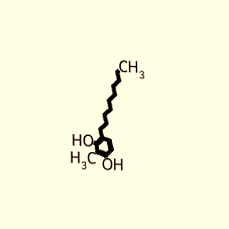 CCCCCCCCCCc1ccc(O)c(C)c1O